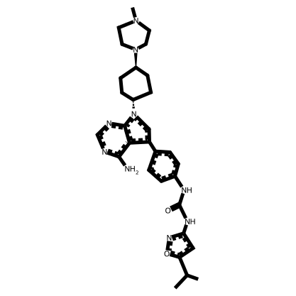 CC(C)c1cc(NC(=O)Nc2ccc(-c3cn([C@H]4CC[C@H](N5CCN(C)CC5)CC4)c4ncnc(N)c34)cc2)no1